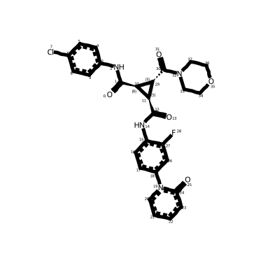 O=C(Nc1ccc(Cl)cc1)[C@@H]1[C@H](C(=O)Nc2ccc(-n3ccccc3=O)cc2F)[C@H]1C(=O)N1CCOCC1